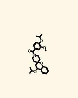 COc1cc(C(=O)N2CCC3(CC2)CC(OC(C)C)C2C=CC=CC2O3)ccc1OC(C)C